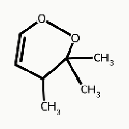 CC1C=COOC1(C)C